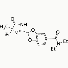 CCN(CC)C(=O)c1ccc2c(c1)OC(C1=NC(C)(C(C)C)C(=O)N1)O2